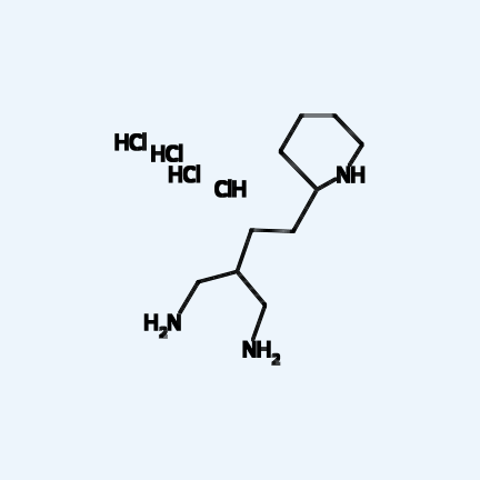 Cl.Cl.Cl.Cl.NCC(CN)CCC1CCCCN1